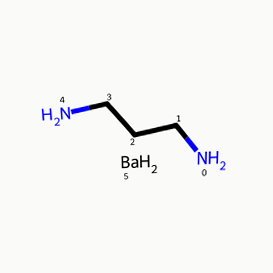 NCCCN.[BaH2]